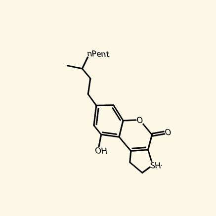 CCCCCC(C)CCc1cc(O)c2c3c(c(=O)oc2c1)[SH]CC3